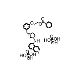 O=C(OCCOc1cccc(CN2CCC(Nc3cccc4cnccc34)C2)c1)c1ccccc1.O=P(O)(O)O.O=P(O)(O)O